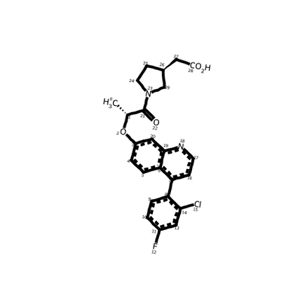 C[C@@H](Oc1ccc2c(-c3ccc(F)cc3Cl)ccnc2c1)C(=O)N1CC[C@@H](CC(=O)O)C1